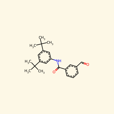 CC(C)(C)c1cc(NC(=O)c2cccc(C=O)c2)cc(C(C)(C)C)c1